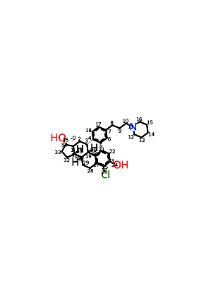 C[C@]12C[C@H](c3ccc(CCCN4CCCCC4)cc3)[C@@H]3c4ccc(O)c(Cl)c4CC[C@H]3[C@@H]1CC[C@@H]2O